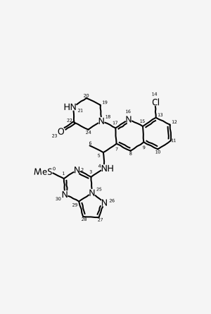 CSc1nc(NC(C)c2cc3cccc(Cl)c3nc2N2CCNC(=O)C2)n2nccc2n1